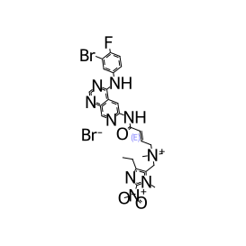 CCc1nc([N+](=O)[O-])n(C)c1C[N+](C)(C)C/C=C/C(=O)Nc1cc2c(Nc3ccc(F)c(Br)c3)ncnc2cn1.[Br-]